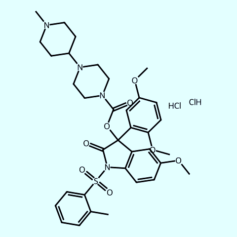 COc1ccc(OC)c(C2(OC(=O)N3CCN(C4CCN(C)CC4)CC3)C(=O)N(S(=O)(=O)c3ccccc3C)c3ccc(OC)cc32)c1.Cl.Cl